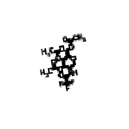 CC(=O)OCC1OCC(NC(=O)C(F)(F)F)C(OC(C)=O)[C@H]1OC(C)=O